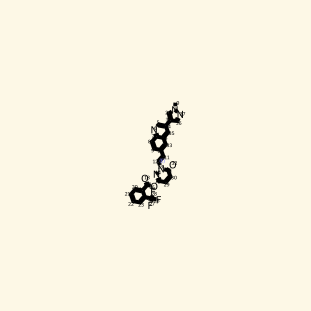 Cn1cc(-c2cnc3ccc(/C=C/n4nc(OC(=O)c5ccccc5C(F)(F)F)ccc4=O)cc3c2)cn1